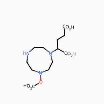 O=C(O)CCC(C(=O)O)N1CCNCCN(OC(=O)O)CC1